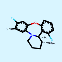 CC(=O)N[C@@H]1CCCN2c3cc(C#N)c(F)cc3Oc3cccc(F)c3[C@@H]12